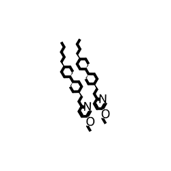 CCCCC[C@H]1CC[C@H]([C@H]2CC[C@H](CCc3ccc(OCC)cn3)CC2)CC1.CCCC[C@H]1CC[C@H]([C@H]2CC[C@H](CCc3ccc(OCC)cn3)CC2)CC1